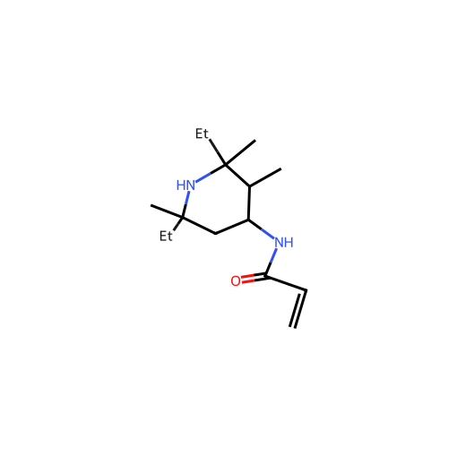 C=CC(=O)NC1CC(C)(CC)NC(C)(CC)C1C